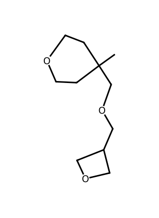 CC1(COCC2COC2)CCOCC1